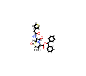 O=CC1=C(C(=O)OC(c2ccccc2)c2ccccc2)N2C(=O)C(NC(=O)Cc3ccsc3)[C@H]2[S+]([O-])C1